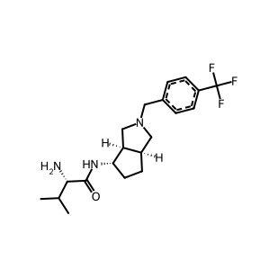 CC(C)[C@H](N)C(=O)N[C@H]1CC[C@@H]2CN(Cc3ccc(C(F)(F)F)cc3)C[C@@H]21